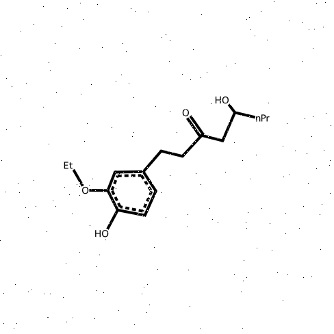 CCCC(O)CC(=O)CCc1ccc(O)c(OCC)c1